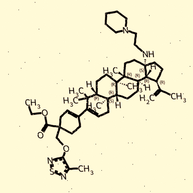 C=C(C)[C@@H]1CC[C@]2(NCCN3CCCCC3)CC[C@]3(C)[C@H](CC[C@@H]4[C@@]5(C)CC=C(C6=CCC(COc7nsnc7C)(C(=O)OCC)CC6)C(C)(C)[C@@H]5CC[C@]43C)[C@@H]12